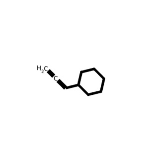 C=C=CC1CCCCC1